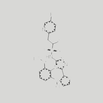 COc1cccc(OC)c1-n1c(NS(=O)(=O)C(C)Cc2ccc(F)cn2)nnc1-c1ccco1